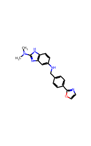 CN(C)c1nc2cc(NCc3ccc(-c4ncco4)cc3)ccc2[nH]1